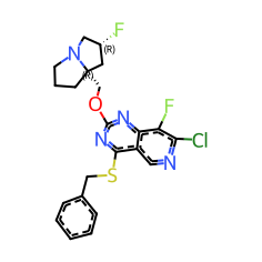 Fc1c(Cl)ncc2c(SCc3ccccc3)nc(OC[C@]34CCCN3C[C@H](F)C4)nc12